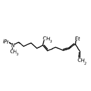 C=CC(=C=CC/C=C(\C)CCCCN(C)C(C)C)CC